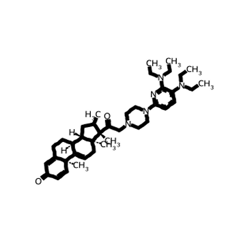 CCN(CC)c1ccc(N2CCN(CC(=O)[C@@]3(C)C(C)C[C@H]4[C@@H]5CCC6=CC(=O)C=C[C@]6(C)C5=CC[C@@]43C)CC2)nc1N(CC)CC